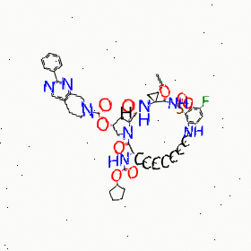 C=C[C@@H]1C[C@@]12NC(=O)[C@@H]1C[C@@H](OC(=O)N3CCc4cnc(-c5ccccc5)nc4C3)CN1C(=O)[C@@H](NC(=O)OC1CCCC1)CCCCCCCNc1ccc(F)cc1S(=O)(=O)NC2=O